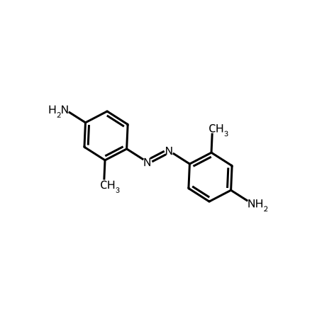 Cc1cc(N)ccc1/N=N/c1ccc(N)cc1C